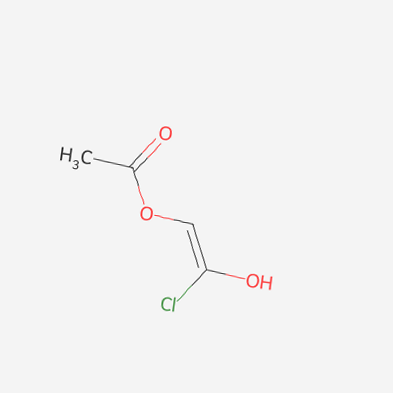 CC(=O)OC=C(O)Cl